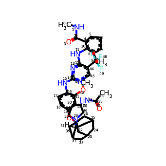 CNC(=O)c1cccc(C)c1Nc1nc(Nc2ccc(O[C@]34CC5CC(C3)[C@@H](N3CC[C@H](NC(C)=O)C3)C(C5)C4)cc2OC)ncc1C(F)(F)F